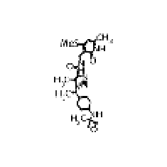 CSc1cc(C)[nH]c(=O)c1CNC(=O)c1nnn([C@H](C)C2CCC(NC3(C)COC3)CC2)c1C